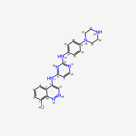 Clc1cccc2c(Nc3ccnc(Nc4ccc(N5CCNCC5)cc4)n3)cnnc12